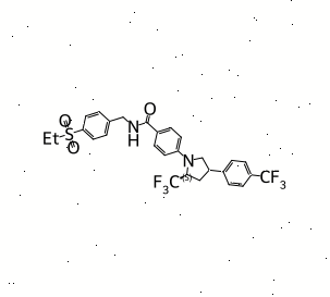 CCS(=O)(=O)c1ccc(CNC(=O)c2ccc(N3CC(c4ccc(C(F)(F)F)cc4)C[C@H]3C(F)(F)F)cc2)cc1